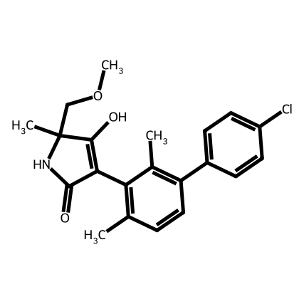 COCC1(C)NC(=O)C(c2c(C)ccc(-c3ccc(Cl)cc3)c2C)=C1O